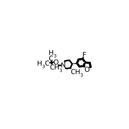 C[C@H]1CN(COC(C)(C)C)CC[C@H]1c1cc(F)c2ccoc2c1